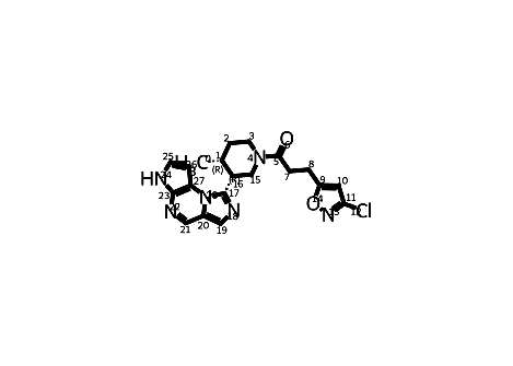 C[C@@H]1CCN(C(=O)CCc2cc(Cl)no2)C[C@@H]1c1ncc2cnc3[nH]ccc3n12